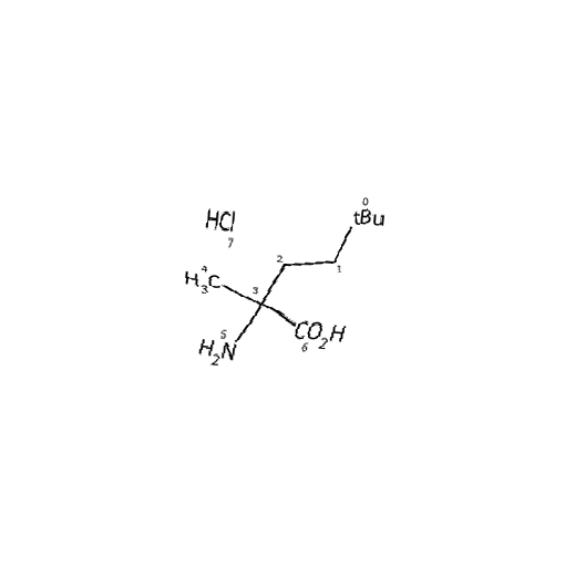 CC(C)(C)CCC(C)(N)C(=O)O.Cl